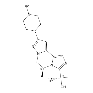 CC(=O)N1CCC(c2cc3n(n2)C[C@H](C)n2c-3cnc2[C@@](C)(O)C(F)(F)F)CC1